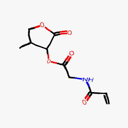 C=CC(=O)NCC(=O)OC1C(=O)OCC1C